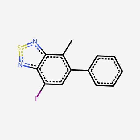 Cc1c(-c2ccccc2)cc(I)c2nsnc12